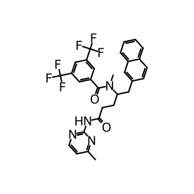 Cc1ccnc(NC(=O)CCC(Cc2ccc3ccccc3c2)N(C)C(=O)c2cc(C(F)(F)F)cc(C(F)(F)F)c2)n1